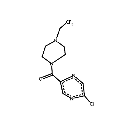 O=C(c1cnc(Cl)cn1)N1CCN(CC(F)(F)F)CC1